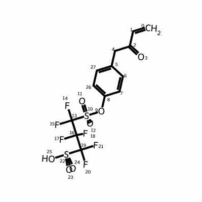 C=CC(=O)Cc1ccc(OS(=O)(=O)C(F)(F)C(F)(F)C(F)(F)S(=O)(=O)O)cc1